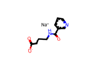 O=C([O-])CCCNC(=O)c1cccnc1.[Na+]